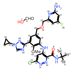 O=CO.[2H]C([2H])([2H])NC(=O)c1nnc(Cl)cc1Nc1cc(COCc2cc(F)cc(N)n2)cc(-c2ncn(C3CC3)n2)c1OC